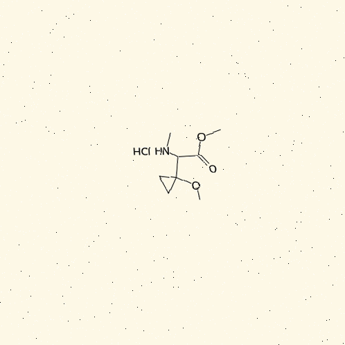 CNC(C(=O)OC)C1(OC)CC1.Cl